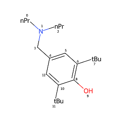 CCCN(CCC)Cc1cc(C(C)(C)C)c(O)c(C(C)(C)C)c1